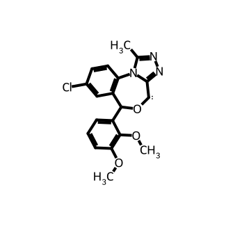 COc1cccc(C2O[C]c3nnc(C)n3-c3ccc(Cl)cc32)c1OC